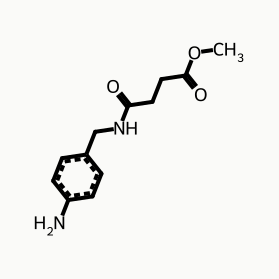 COC(=O)CCC(=O)NCc1ccc(N)cc1